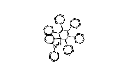 c1ccc(N=NC2(c3ccccc3)C(c3ccccc3)=C(c3ccccc3)C(c3ccccc3)=C(c3ccccc3)C2c2ccccc2)cc1